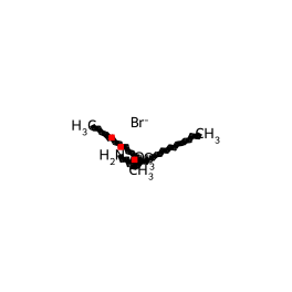 CCCCC=CCCCCCCCCOCC(C[N+](C)(C)CCCN)OCCCCCCCCC=CCCCC.[Br-]